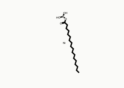 CCCCCCCCCCCCCCCCCC(=O)OB(O)O.[Ni]